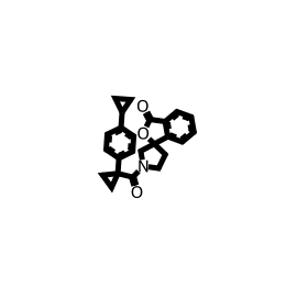 O=C1OC2(CCN(C(=O)C3(c4ccc(C5CC5)cc4)CC3)C2)c2ccccc21